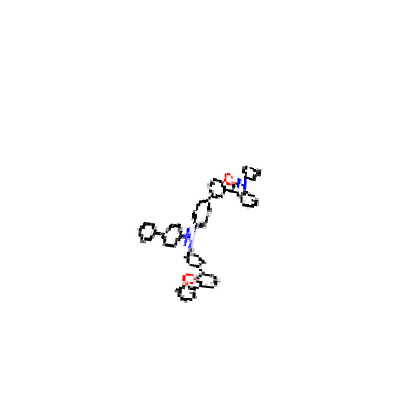 c1ccc(-c2ccc(N(c3ccc(-c4ccc5oc6c(c5c4)c4ccccc4n6-c4ccccc4)cc3)c3ccc(-c4cccc5c4oc4ccccc45)cc3)cc2)cc1